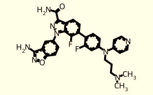 CN(C)CCCN(c1ccncc1)c1ccc(-c2ccc3c(C(N)=O)nn(-c4ccc5onc(N)c5c4)c3c2F)c(F)c1